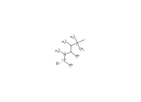 CCCC(C(C)C(C)(C)I)N(C)[C@@H](CC)CCC